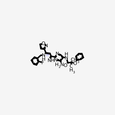 CC(C)(Oc1ccccc1)C(=O)Nc1cnc(C(=N)/C=C(\NCc2ccccc2F)c2ccon2)nc1N